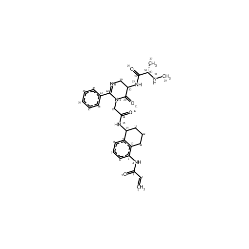 C=CC(=O)Nc1cccc2c1CCCC2NC(=O)CN1C(=O)C(NC(=O)[C@H](C)NC)CN=C1c1ccccc1